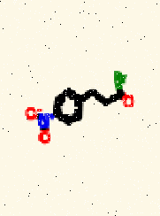 O=C(Br)CCc1ccc([N+](=O)[O-])cc1